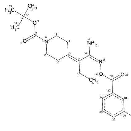 CCC(=C1CCN(C(=O)OC(C)(C)C)CC1)/C(N)=N\OC(=O)c1cccc(Cl)c1